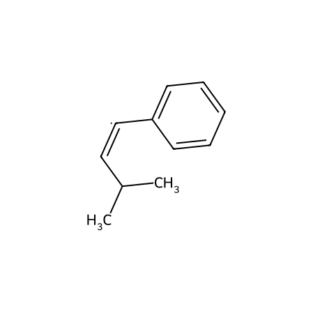 CC(C)/C=[C]\c1ccccc1